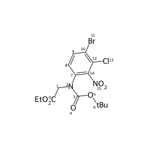 CCOC(=O)CN(C(=O)OC(C)(C)C)c1ccc(Br)c(Cl)c1[N+](=O)[O-]